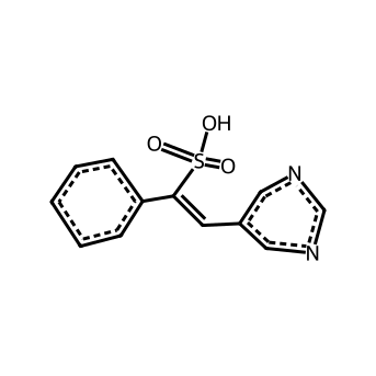 O=S(=O)(O)C(=Cc1cncnc1)c1ccccc1